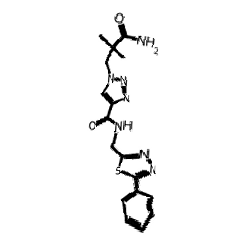 CC(C)(Cn1cc(C(=O)NCc2nnc(-c3ccccc3)s2)nn1)C(N)=O